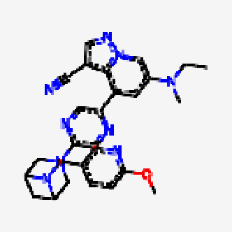 CCN(C)c1cc(-c2cnc(N3CC4CC(C3)N4Cc3ccc(OC)nc3)cn2)c2c(C#N)cnn2c1